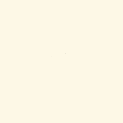 CC(C)(C)c1ccc(N2c3ccc(C(C)(C)C)cc3B3c4sc5ccc(C(C)(C)C)cc5c4N(c4ccc5c(c4)C(C)(C)CC5(C)C)c4nc(C56CCC(CC5)CC6)cc2c43)cc1